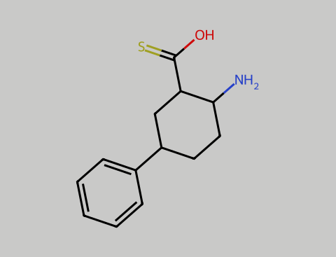 NC1CCC(c2ccccc2)CC1C(O)=S